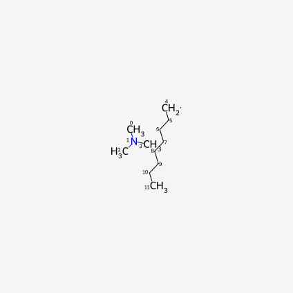 CN(C)C.[CH2]CCCCCCC